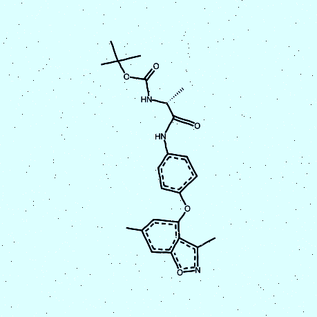 Cc1cc(Oc2ccc(NC(=O)[C@@H](C)NC(=O)OC(C)(C)C)cc2)c2c(C)noc2c1